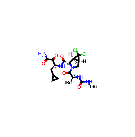 CC(C)(C)NC(=O)N[C@H](C(=O)N1C[C@H]2[C@@H]([C@H]1C(=O)N[C@@H](CC1CC1)C(=O)C(N)=O)C2(Cl)Cl)C(C)(C)C